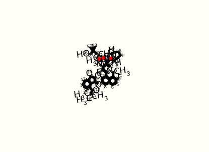 CCc1c(F)ccc2cc(OC3C(=O)C(=O)c4cccc(C(=O)C(C)(C)C)c43)cc(-c3ncc4c(N5C[C@H]6CC[C@@H](C5)N6C(=O)OC(C)(C)C)nc(OCC5(CO)CC5)nc4c3F)c12